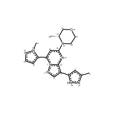 Cc1cc(-c2cnn3c(-c4ccnn4C)cc(N4CCOC[C@H]4C)nc23)[nH]n1